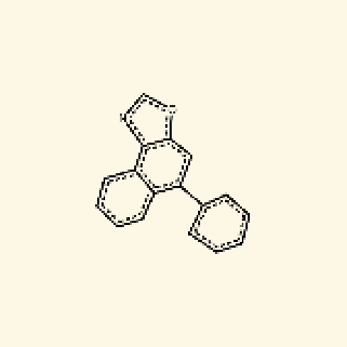 c1ccc(-c2cc3ocnc3c3ccccc23)cc1